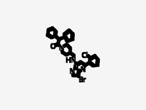 O=C(C(c1ccccc1)c1ccccc1)N1CCC(CNc2cc(-c3ccccc3Cl)nc3c(Br)cnn23)CC1